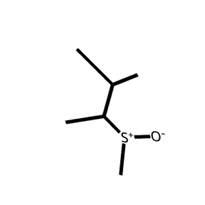 CC(C)C(C)[S+](C)[O-]